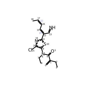 C=C(CC)C(=O)N(CC)c1sc(/C(C=N)=C/C=C\C)nc1Cl